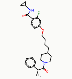 O=C(NC1CC1)c1ccc(OCCCCC2CCN(C(=O)[C@H](c3ccccc3)C(F)(F)F)CC2)cc1Cl